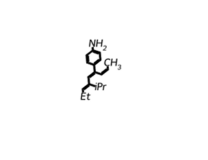 C\C=C/C(=C\C(=C\CC)C(C)C)c1ccc(N)cc1